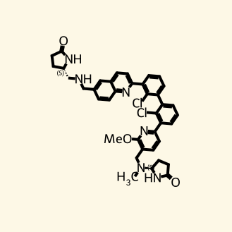 COc1nc(-c2cccc(-c3cccc(-c4ccc5cc(CNC[C@@H]6CCC(=O)N6)ccc5n4)c3Cl)c2Cl)ccc1CN(C)[C@H]1CCC(=O)N1